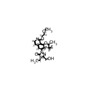 CCn1c(CO)nn(-c2cc(O[C@@H](C)C(F)(F)F)c3c(OCCOC)nccc3c2)c1=O